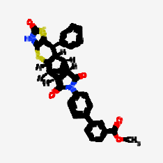 COC(=O)c1cccc(-c2ccc(N3C(=O)[C@@H]4[C@H]5C[C@H]([C@@H]6Sc7[nH]c(=O)sc7[C@@H](c7ccccc7)[C@H]56)[C@@H]4C3=O)cc2)c1